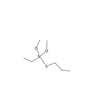 CCCS[Si](CC)(OC)OC